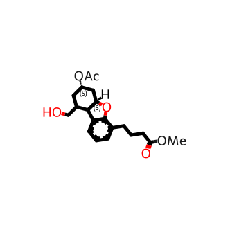 COC(=O)CCCc1cccc2c1O[C@H]1C[C@@H](OC(C)=O)CC(CO)C21